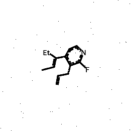 C=CCc1c(C(=CC)CC)ccnc1F